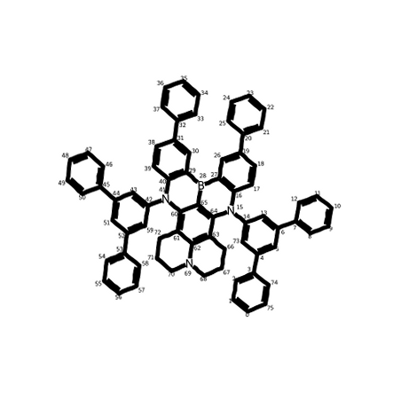 c1ccc(-c2cc(-c3ccccc3)cc(N3c4ccc(-c5ccccc5)cc4B4c5cc(-c6ccccc6)ccc5N(c5cc(-c6ccccc6)cc(-c6ccccc6)c5)c5c6c7c(c3c54)CCCN7CCC6)c2)cc1